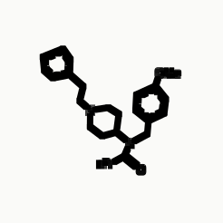 CCCC(=O)N(Cc1ccc(OC)cc1)C1CCN(CCc2ccccc2)CC1